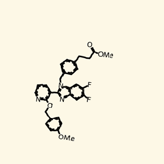 COC(=O)CCc1ccc(Cn2c(-c3cccnc3OCc3ccc(OC)cc3)nc3cc(F)c(F)cc32)cc1